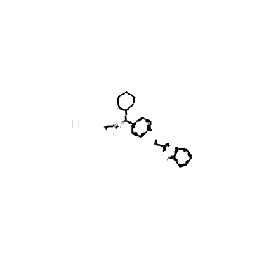 O=C(O)[C@H]1ON1C(c1ccc(OCc2nc3ccccc3s2)cc1)C1CCCCC1